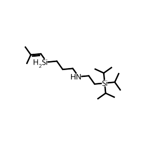 CC(C)=C[SiH2]CCCNCC[Si](C(C)C)(C(C)C)C(C)C